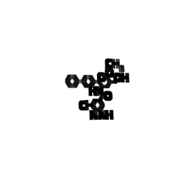 CCOC(=O)C(CO)CC(Cc1ccc(-c2ccccc2)cc1)NC(=O)c1cc(Cl)c2nc[nH]c2c1